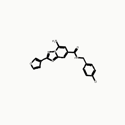 Nc1cc(C(=O)NCc2ccc(Cl)cc2)cc2nc(-c3ccoc3)nn12